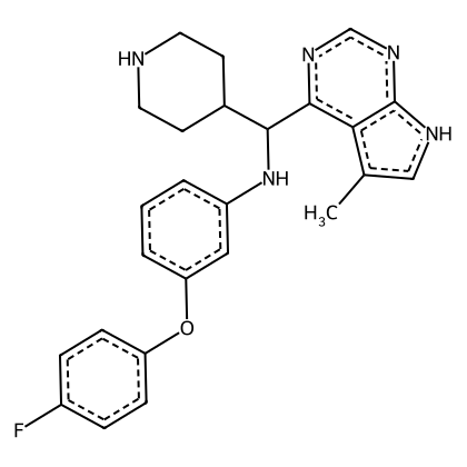 Cc1c[nH]c2ncnc(C(Nc3cccc(Oc4ccc(F)cc4)c3)C3CCNCC3)c12